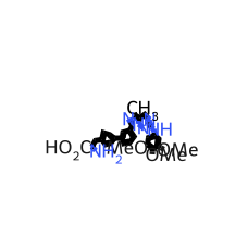 COc1cc(Nc2ncc3c(C)nc(-c4cccc(-c5ccc(CC(N)C(=O)O)cc5)c4)n3n2)cc(OC)c1OC